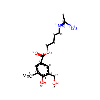 COc1cc(C(=O)OCCCC/N=C(/C)N)cc(CO)c1O